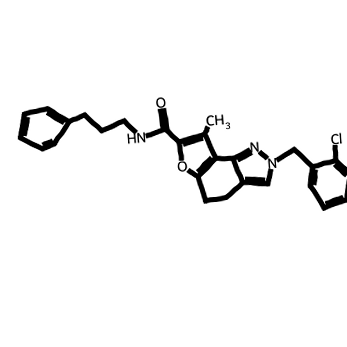 Cc1c(C(=O)NCCCc2ccccc2)oc2c1-c1nn(Cc3ccccc3Cl)cc1CC2